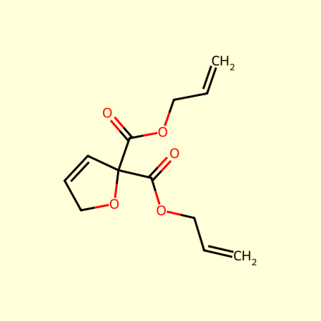 C=CCOC(=O)C1(C(=O)OCC=C)C=CCO1